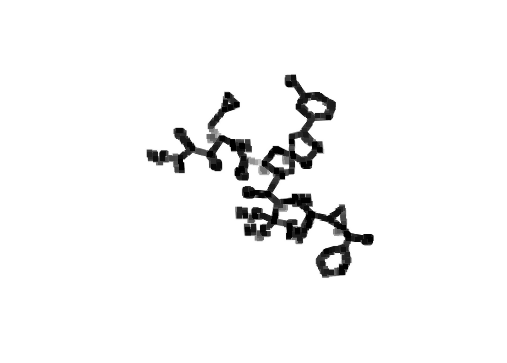 CNC(=O)C(=O)[C@H](CC1CC1)NC(=O)[C@@H]1C[C@]2(CC(c3cccc(Cl)c3)=NO2)CN1C(=O)[C@@H](NC(=O)C1C[C@H]1C(=O)c1ccccc1)C(C)(C)C